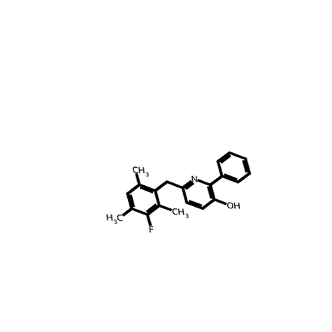 Cc1cc(C)c(Cc2ccc(O)c(-c3ccccc3)n2)c(C)c1F